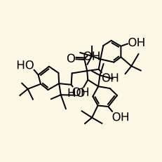 CC(C)(C)C1=CC(C(O)CC(C(=O)O)(C(O)C2(C(C)(C)C)C=C(C(C)(C)C)C(O)=CC2)C(O)C2(C(C)(C)C)C=C(C(C)(C)C)C(O)=CC2)(C(C)(C)C)CC=C1O